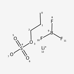 CCCOS(=O)(=O)[O-].FB(F)F.[Li+]